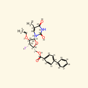 C=CO[C@@H]1[C@@H](I)[C@@H](COC(=O)c2ccc(-c3ccccc3)cc2)O[C@H]1n1cc(C)c(=O)[nH]c1=O